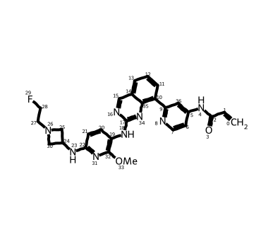 C=CC(=O)Nc1ccnc(-c2cccc3cnc(Nc4ccc(NC5CN(CCF)C5)nc4OC)nc23)c1